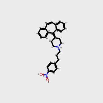 O=[N+]([O-])c1ccc(CCCN2CCC(=C3c4ccccc4C=Cc4ccccc43)CC2)cc1